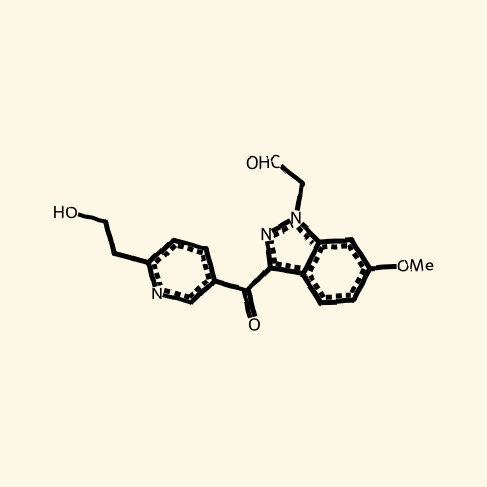 COc1ccc2c(C(=O)c3ccc(CCO)nc3)nn(CC=O)c2c1